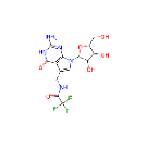 Nc1nc2c(c(CNC(=O)C(F)(F)F)cn2C2OC(CO)C(O)C2O)c(=O)[nH]1